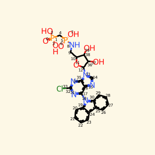 O=P(O)(O)CP(=O)(O)NCC1OC(n2cnc3c(-n4c5ccccc5c5ccccc54)nc(Cl)nc32)C(O)C1O